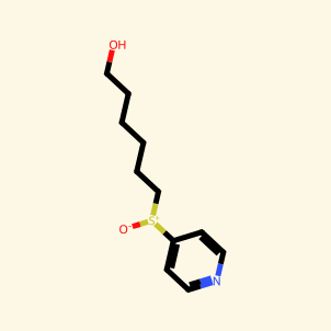 [O-][S+](CCCCCCO)c1ccncc1